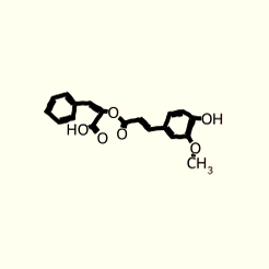 COc1cc(C=CC(=O)OC(=Cc2ccccc2)C(=O)O)ccc1O